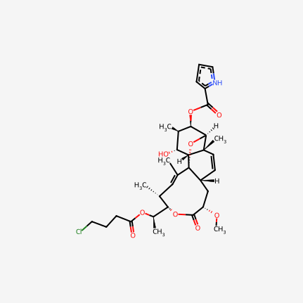 CO[C@H]1C[C@H]2C=C[C@]3(C)[C@H]4[C@H](O)[C@@H](C)[C@@H](OC(=O)c5ccc[nH]5)[C@@H]3O[C@@]24/C(C)=C/[C@@H](C)[C@@H]([C@@H](C)OC(=O)CCCCl)OC1=O